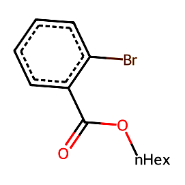 CCCCCCOC(=O)c1ccccc1Br